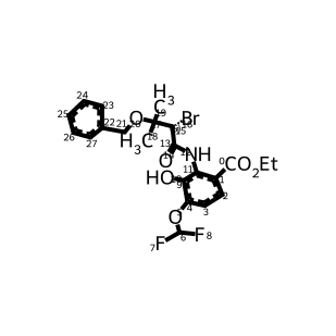 CCOC(=O)c1ccc(OC(F)F)c(O)c1NC(=O)[C@@H](Br)C(C)(C)OCc1ccccc1